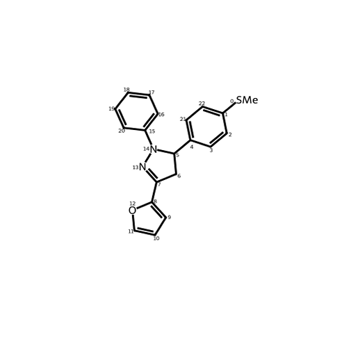 CSc1ccc(C2CC(c3ccco3)=NN2c2ccccc2)cc1